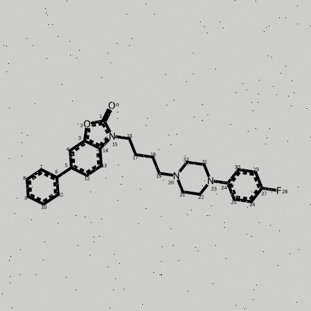 O=c1oc2cc(-c3ccccc3)ccc2n1CCCCN1CCN(c2ccc(F)cc2)CC1